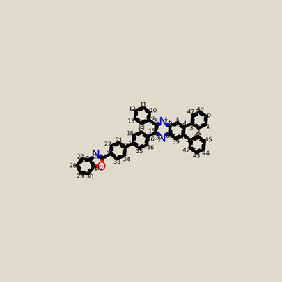 c1ccc(-c2cc3nc(-c4ccccc4)c(-c4ccc(-c5ccc(-c6nc7ccccc7o6)cc5)cc4)nc3cc2-c2ccccc2)cc1